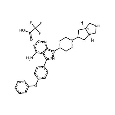 Nc1ncnc2c1c(-c1ccc(Oc3ccccc3)cc1)nn2C1CCN(C2C[C@H]3CNC[C@H]3C2)CC1.O=C(O)C(F)(F)F